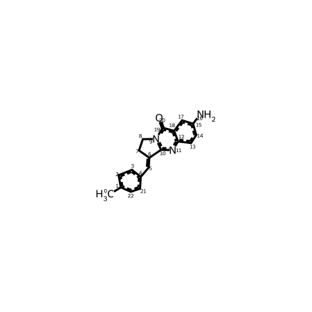 Cc1ccc(/C=C2\CCn3c2nc2ccc(N)cc2c3=O)cc1